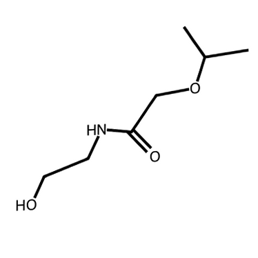 CC(C)OCC(=O)NCCO